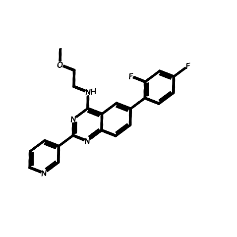 COCCNc1nc(-c2cccnc2)nc2ccc(-c3ccc(F)cc3F)cc12